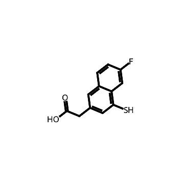 O=C(O)Cc1cc(S)c2cc(F)ccc2c1